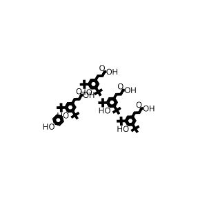 CC(C)(C)c1cc(CCC(=O)O)cc(C(C)(C)C)c1O.CC(C)(C)c1cc(CCC(=O)O)cc(C(C)(C)C)c1O.CC(C)(C)c1cc(CCC(=O)O)cc(C(C)(C)C)c1O.CC(C)(C)c1cc(CCC(=O)O)cc(C(C)(C)C)c1O.Oc1ccccc1